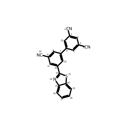 N#Cc1cc(C#N)cc(-c2cc(C#N)cc(-c3nc4ccccc4s3)c2)c1